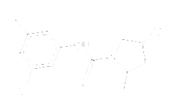 CC1CC(O)CN1C(=O)Nc1cc(Cl)cc(Cl)c1